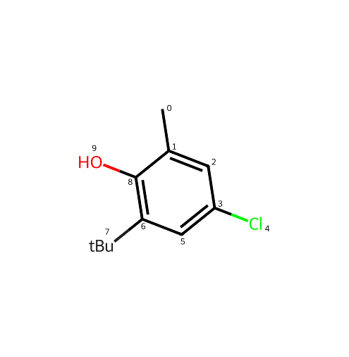 Cc1cc(Cl)cc(C(C)(C)C)c1O